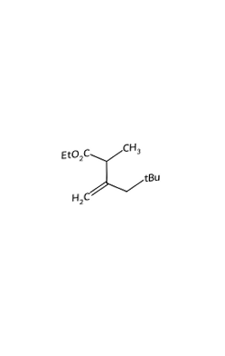 C=C(CC(C)(C)C)C(C)C(=O)OCC